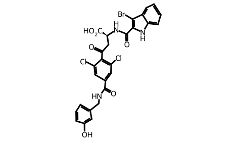 O=C(NCc1cccc(O)c1)c1cc(Cl)c(C(=O)C[C@H](NC(=O)c2[nH]c3ccccc3c2Br)C(=O)O)c(Cl)c1